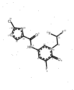 O=C(Nc1cc(F)c(=O)n(CC(F)F)c1)c1coc(Cl)n1